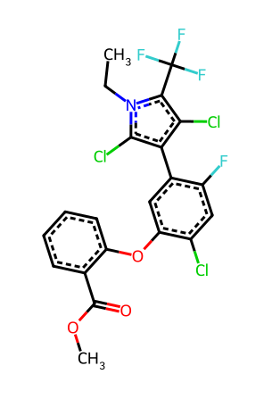 CCn1c(Cl)c(-c2cc(Oc3ccccc3C(=O)OC)c(Cl)cc2F)c(Cl)c1C(F)(F)F